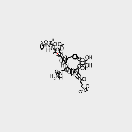 CC[C@H](C)[C@H](NC(=O)[C@H]1CCCCN1C)C(=O)N(C)[C@H](C[C@@H](OC(C)=O)c1nc(C(=O)N(C)[C@H]2Cc3ccc(cc3)OC3OC(CO)C(O)C(O)C3OC(C)[C@@H](C(=O)N3CCN(C(=O)CCCN4C(=O)C=CC4=O)CC3)NC(=O)[C@H](CCCNC(N)=O)NC2=O)cs1)C(C)C